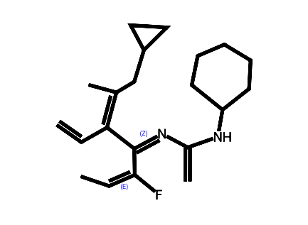 C=CC(=C(C)CC1CC1)C(=N/C(=C)NC1CCCCC1)/C(F)=C\C